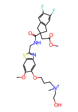 COC(=O)CC1(C(=O)NCc2nc3cc(OCCC[N+](C)(C)CCO)c(OC)cc3s2)Cc2cc(F)c(F)cc2C1